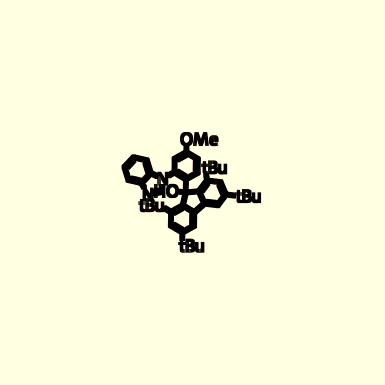 COc1ccc(C2(O)c3c(cc(C(C)(C)C)cc3C(C)(C)C)-c3cc(C(C)(C)C)cc(C(C)(C)C)c32)c(-n2cnc3ccccc32)c1